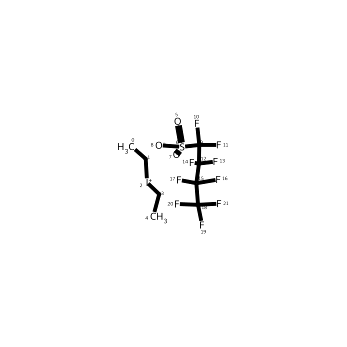 CC[I+]CC.O=S(=O)([O-])C(F)(F)C(F)(F)C(F)(F)C(F)(F)F